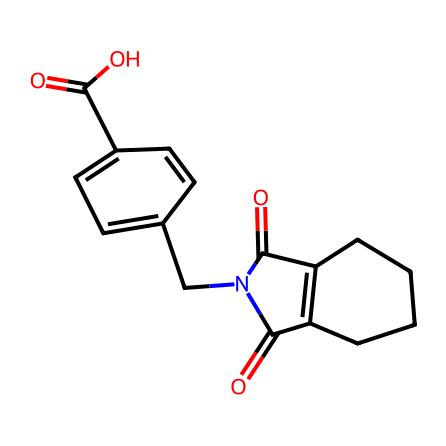 O=C(O)c1ccc(CN2C(=O)C3=C(CCCC3)C2=O)cc1